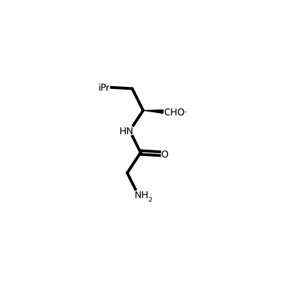 CC(C)C[C@@H]([C]=O)NC(=O)CN